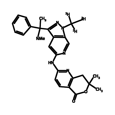 [2H]C([2H])([2H])n1nc(C(C)(NC)c2ccccc2)c2cc(Nc3ccc4c(n3)CC(C)(C)OC4=O)ncc21